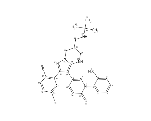 Cc1ccccc1-n1nc(-c2c(-c3cc(F)ccc3F)nn3c2NCC(CNC(C)(C)C)C3)ccc1=O